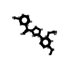 COc1ccc(C2=NN(C(=O)c3cccc(F)c3)CC2)c(CO)c1